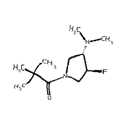 CN(C)[C@H]1CN(C(=O)C(C)(C)C)C[C@@H]1F